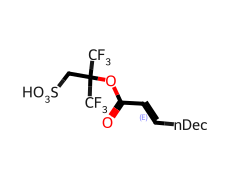 CCCCCCCCCC/C=C/C(=O)OC(CS(=O)(=O)O)(C(F)(F)F)C(F)(F)F